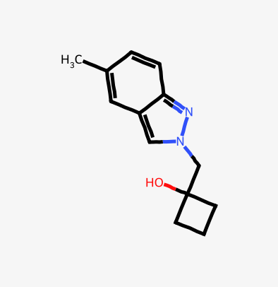 Cc1ccc2nn(CC3(O)CCC3)cc2c1